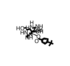 CC(C)(C)c1ccc(C(=O)O[C@H]2CN3C(=N)N[C@@H](CO)[C@@H]4NC(=N)NC43C2(O)O)cc1